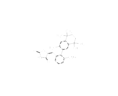 COc1cccc(/C=C2/SC(=O)NC2=O)c1-c1cc2c(cc1C(F)(F)F)C(C)(C)CCC2(C)C